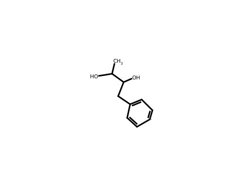 CC(O)C(O)Cc1cc[c]cc1